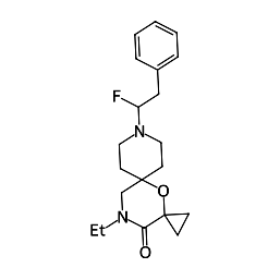 CCN1CC2(CCN(C(F)Cc3ccccc3)CC2)OC2(CC2)C1=O